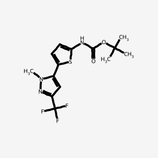 Cn1nc(C(F)(F)F)cc1-c1ccc(NC(=O)OC(C)(C)C)s1